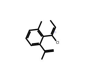 C=C(C)c1cccc(C)c1/C(Cl)=C\C